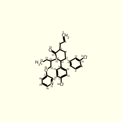 C=CCC1C[C@H](c2cccc(Cl)c2)C(c2ccc(Cl)cc2)N(C(CC)COc2cccnc2)C1=O